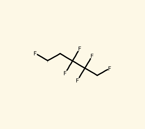 F[CH]CC(F)(F)C(F)(F)CF